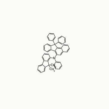 CC1(C)c2ccccc2-c2cccc(N(c3ccccc3)c3cc4ccccc4c4c3-c3ccccc3C4(c3ccccc3)c3ccccc3)c21